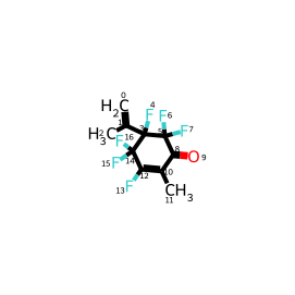 C=C(C)C1(F)C(F)(F)C(=O)C(C)=C(F)C1(F)F